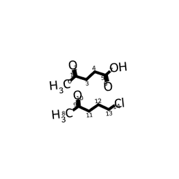 CC(=O)CCC(=O)O.CC(=O)CCCCl